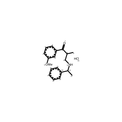 COc1cccc(C(=O)C(C)CNC(C)c2ccccc2)c1.Cl